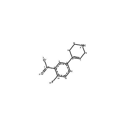 O=[N+]([O-])c1cc(C2=CCNCC2)ccc1F